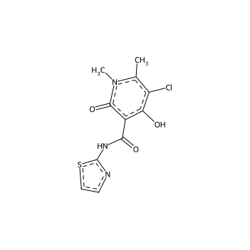 Cc1c(Cl)c(O)c(C(=O)Nc2nccs2)c(=O)n1C